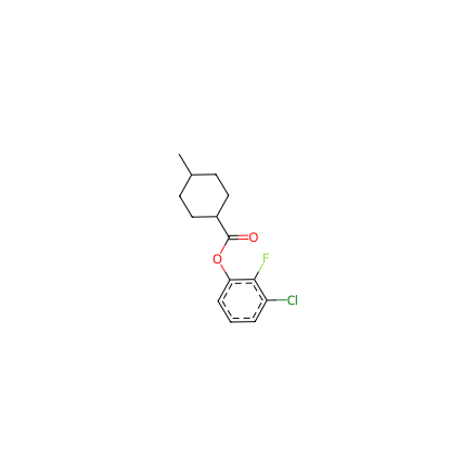 CC1CCC(C(=O)Oc2cccc(Cl)c2F)CC1